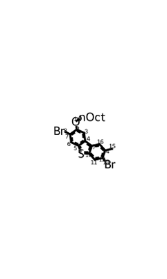 CCCCCCCCOc1cc2c(cc1Br)sc1cc(Br)c(C)cc12